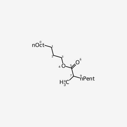 CCCCCCCCCCCOC(=O)C(C)CCCCC